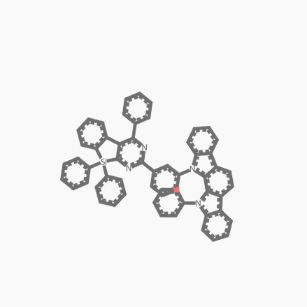 c1ccc(-c2nc(-c3cccc(-n4c5ccccc5c5ccc6c7ccccc7n(-c7ccccc7)c6c54)c3)nc3c2-c2ccccc2[Si]3(c2ccccc2)c2ccccc2)cc1